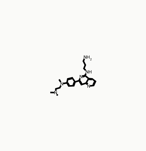 CN(C)CCN(C)c1ccc(-c2cc3ncccc3c(NCCCN)n2)cc1